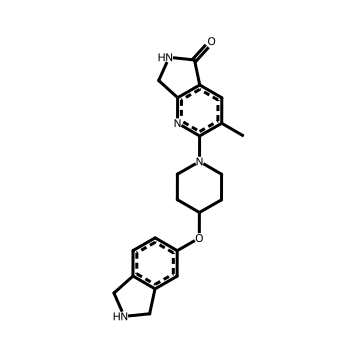 Cc1cc2c(nc1N1CCC(Oc3ccc4c(c3)CNC4)CC1)CNC2=O